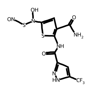 NC(=O)c1cc(N(O)SN=O)sc1NC(=O)c1cc(C(F)(F)F)[nH]n1